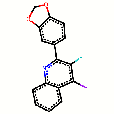 Fc1c(-c2ccc3c(c2)OCO3)nc2ccccc2c1I